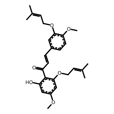 COc1cc(O)c(C(=O)C=Cc2ccc(OC)c(OCC=C(C)C)c2)c(OCC=C(C)C)c1